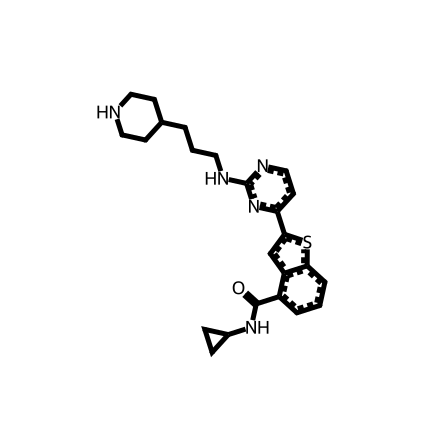 O=C(NC1CC1)c1cccc2sc(-c3ccnc(NCCCC4CCNCC4)n3)cc12